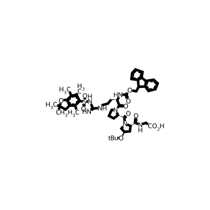 Cc1c(C)c(S(=O)(=O)NC(=N)NCCC[C@H](NC(=O)OCC2c3ccccc3-c3ccccc32)C(=O)N2CCC[C@H]2C(=O)N2C[C@H](OC(C)(C)C)C[C@H]2C(=O)NCC(=O)O)c(C)c2c1OC(C)(C)C2